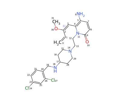 C=C/C(=C\c1c(N)ccc(=O)n1CCN1CCC(NCc2ccc(Cl)cc2Cl)CC1)OC